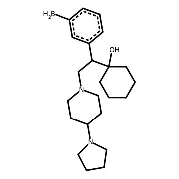 Bc1cccc(C(CN2CCC(N3CCCC3)CC2)C2(O)CCCCC2)c1